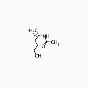 [CH2][C@@H](CCCC)NC(C)=O